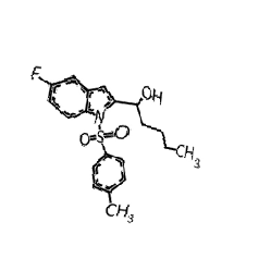 CCCCC(O)c1cc2cc(F)ccc2n1S(=O)(=O)c1ccc(C)cc1